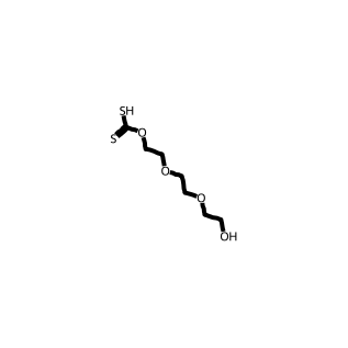 OCCOCCOCCOC(=S)S